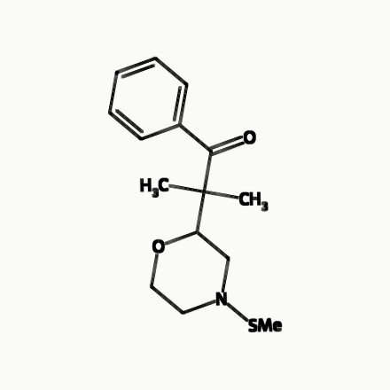 CSN1CCOC(C(C)(C)C(=O)c2ccccc2)C1